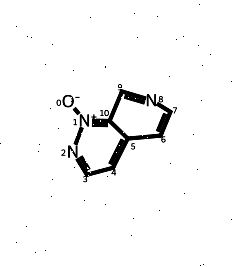 [O-][n+]1nccc2ccncc21